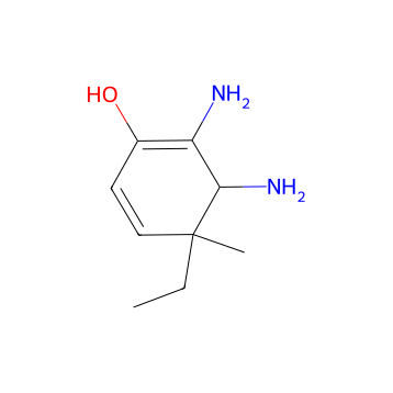 CCC1(C)C=CC(O)=C(N)C1N